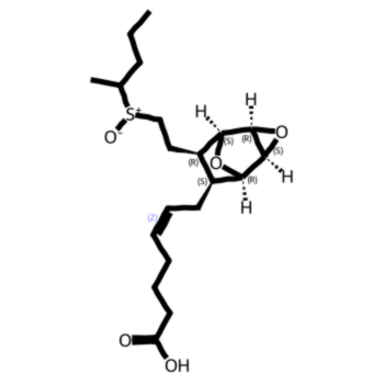 CCCC(C)[S+]([O-])CC[C@@H]1[C@H](C/C=C\CCCC(=O)O)[C@H]2O[C@@H]1[C@H]1O[C@H]12